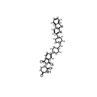 O=C1CCN(N2C(=O)c3ccc(N4CCC(CN5CCN(c6ccn7c(n6)nc6ccccc67)CC5)CC4)cc3C2=O)C(=O)N1